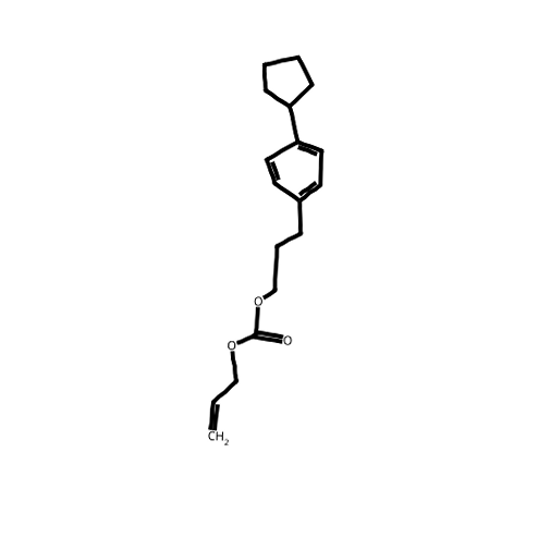 C=CCOC(=O)OCCCc1ccc(C2CCCC2)cc1